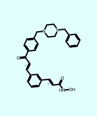 O=C(/C=C/c1cccc(/C=C/C(=O)c2ccc(CN3CCN(Cc4ccccc4)CC3)cc2)c1)NO